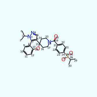 CC(C)n1ncc2c1-c1ccccc1OC21CCN(C(=O)c2ccc(S(=O)(=O)C(C)C)cc2)CC1